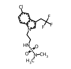 CN(C)S(=O)(=O)NCCn1cc(CC(F)(F)F)c2cc(Cl)ccc21